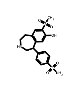 CS(=O)(=O)c1cc2c(cc1O)C(c1ccc(S(N)(=O)=O)cc1)CNCC2